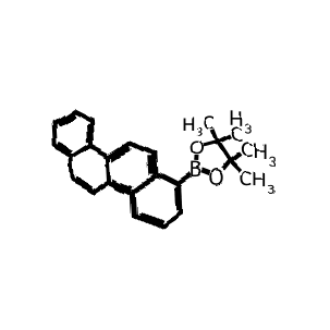 CC1(C)OB(c2cccc3c2ccc2c4ccccc4ccc32)OC1(C)C